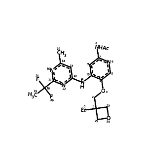 CCC1(COc2cnc(NC(C)=O)cc2Nc2cc(C)nc(C(C)(F)F)n2)COC1